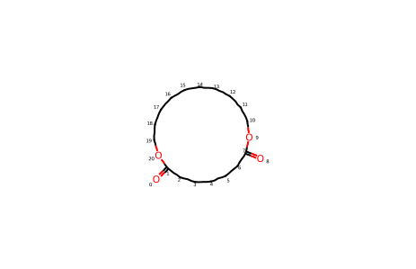 O=C1CCCCCC(=O)OCCCCCCCCCCO1